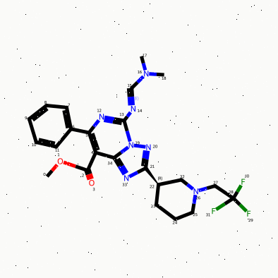 COC(=O)c1c(-c2ccccc2)nc(/N=C/N(C)C)n2nc([C@@H]3CCCN(CC(F)(F)F)C3)nc12